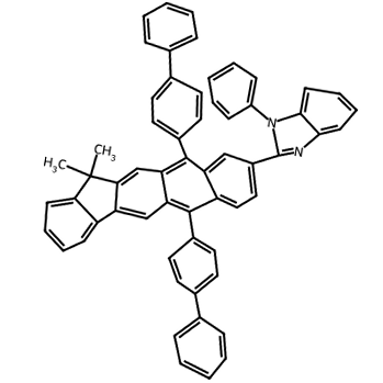 CC1(C)c2ccccc2-c2cc3c(-c4ccc(-c5ccccc5)cc4)c4ccc(-c5nc6ccccc6n5-c5ccccc5)cc4c(-c4ccc(-c5ccccc5)cc4)c3cc21